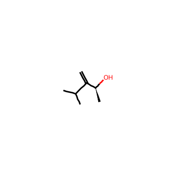 C=C(C(C)C)[C@H](C)O